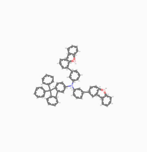 c1ccc(C2(c3ccccc3)c3ccccc3-c3cc(N(c4cccc(-c5ccc6oc7ccccc7c6c5)c4)c4cccc(-c5cccc6c5oc5ccccc56)c4)ccc32)cc1